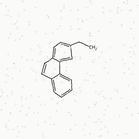 [CH2]Cc1ccc2ccc3ccccc3c2c1